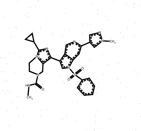 CNC(=O)N1CCn2c(C3CC3)nc(-c3cn(S(=O)(=O)c4ccccc4)c4cc(-c5cnn(C)c5)ncc34)c2C1